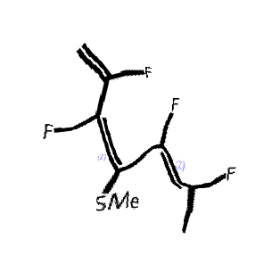 C=C(F)/C(F)=C(SC)\C(F)=C(/C)F